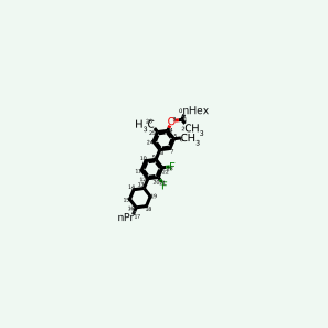 CCCCCCC(C)Oc1c(C)cc(-c2ccc(C3CCC(CCC)CC3)c(F)c2F)cc1C